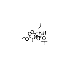 C=CC[C@H](NC(=O)OC(C)(C)C)C(=O)N[C@@H](C)C(=O)OCC